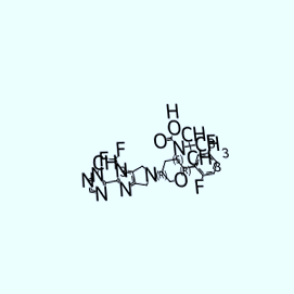 Cn1ncnc1-c1nc2c(n1C(F)F)CN([C@H]1CO[C@H](c3cc(F)ccc3F)[C@@H](N(C(=O)O)C(C)(C)C)C1)C2